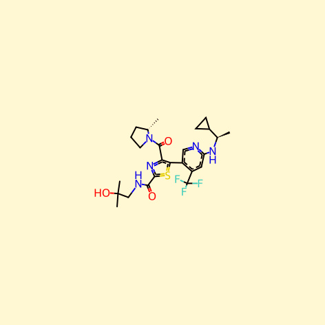 C[C@@H](Nc1cc(C(F)(F)F)c(-c2sc(C(=O)NCC(C)(C)O)nc2C(=O)N2CCC[C@@H]2C)cn1)C1CC1